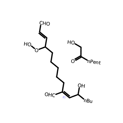 CCCCC(O)/C=C(/C=O)CCCCCC(C=CC=O)OO.CCCCCC(=O)CO